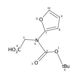 CC(C)(C)OC(=O)N(CC(=O)O)c1ccco1